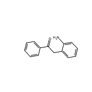 Nc1ccccc1CC(=O)c1ccccc1